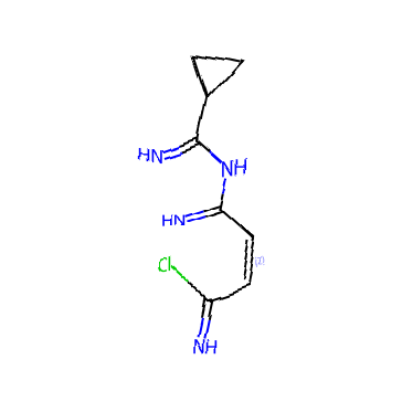 N=C(Cl)/C=C\C(=N)NC(=N)C1CC1